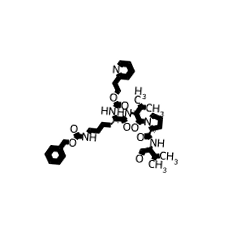 CC(C)[C@H](NC(=O)[C@H](CCCCNC(=O)OCc1ccccc1)NC(=O)OCCc1ccccn1)C(=O)N1CCC[C@H]1C(=O)N[C@H](C=O)C(C)C